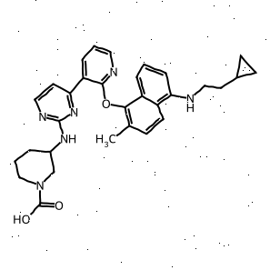 Cc1ccc2c(NCCC3CC3)cccc2c1Oc1ncccc1-c1ccnc(NC2CCCN(C(=O)O)C2)n1